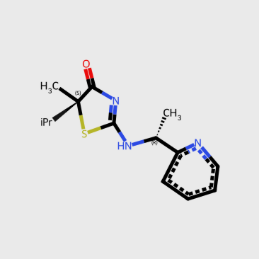 CC(C)[C@]1(C)SC(N[C@H](C)c2ccccn2)=NC1=O